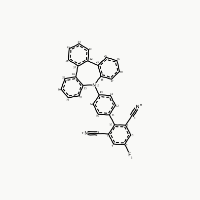 N#Cc1cc(F)cc(C#N)c1-c1ccc(N2c3ccccc3-c3ccccc3-c3ccccc32)cc1